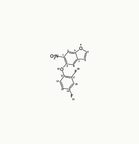 O=[N+]([O-])c1cc2occc2cc1Oc1ccc(F)cc1F